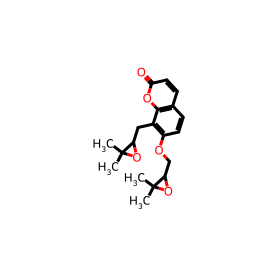 CC1(C)OC1COc1ccc2ccc(=O)oc2c1CC1OC1(C)C